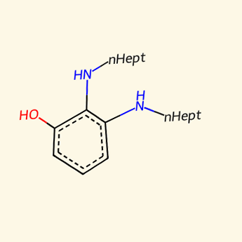 CCCCCCCNc1cccc(O)c1NCCCCCCC